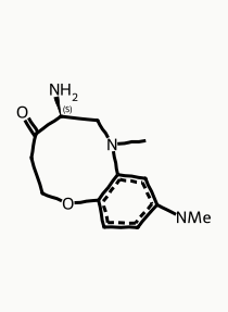 CNc1ccc2c(c1)N(C)C[C@H](N)C(=O)CCO2